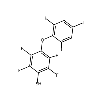 Fc1c(F)c(Oc2c(I)cc(I)cc2I)c(F)c(F)c1S